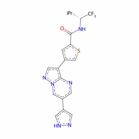 CC(C)[C@@H](NC(=O)c1cc(-c2cnn3cc(-c4cn[nH]c4)cnc23)cs1)C(F)(F)F